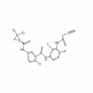 N#CCC(=O)Nc1c(F)ccc(NC(=O)c2cc(NC(=O)[C@H]3CC3(Cl)Cl)ccc2Cl)c1F